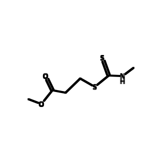 CNC(=S)SCCC(=O)OC